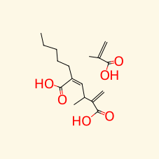 C=C(C(=O)O)C(C)C=C(CCCCC)C(=O)O.C=C(C)C(=O)O